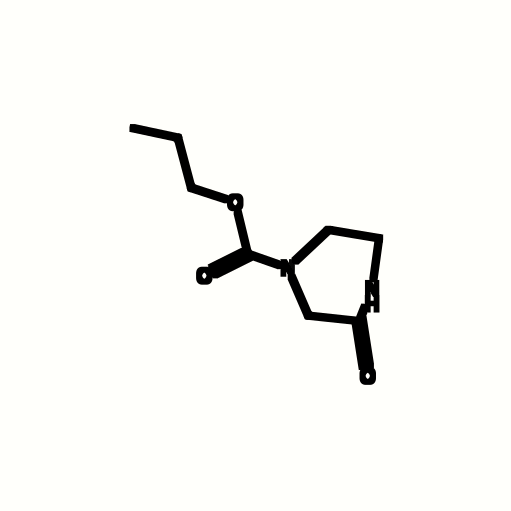 CCCOC(=O)N1CCNC(=O)C1